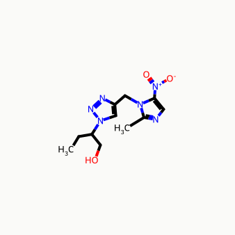 CCC(CO)n1cc(Cn2c([N+](=O)[O-])cnc2C)nn1